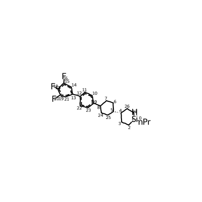 CCC[Si@H]1CC[C@H](C2CCC(c3ccc(-c4cc(F)c(F)c(F)c4)cc3)CC2)CC1